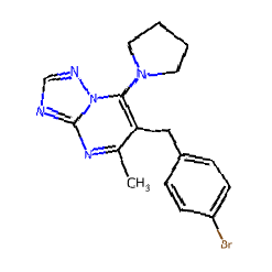 Cc1nc2ncnn2c(N2CCCC2)c1Cc1ccc(Br)cc1